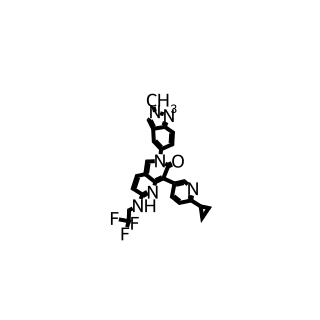 Cn1cc2cc(-n3cc4ccc(NCC(F)(F)F)nc4c(-c4ccc(C5CC5)nc4)c3=O)ccc2n1